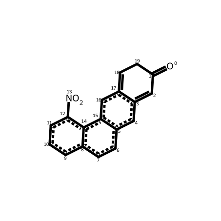 O=C1C=c2cc3ccc4cccc([N+](=O)[O-])c4c3cc2=CC1